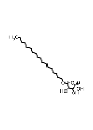 CCCCCCCCCCCCCCCCCCOC[C@H](O)C(O)P(=O)(O)O